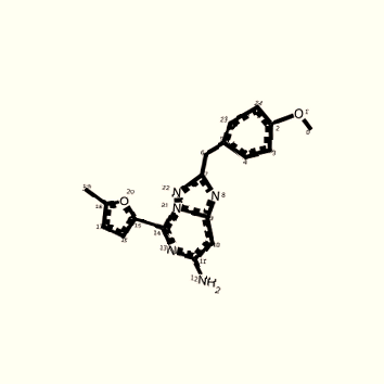 COc1ccc(Cc2nc3cc(N)nc(-c4ccc(C)o4)n3n2)cc1